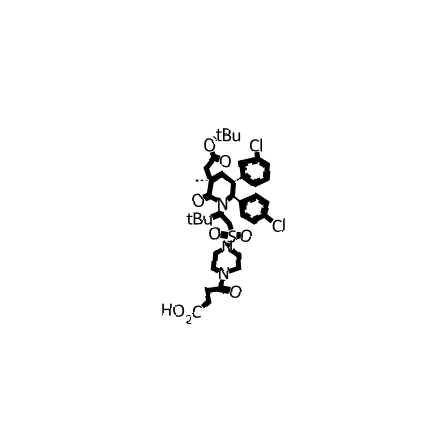 CC(C)(C)OC(=O)C[C@@]1(C)C[C@H](c2cccc(Cl)c2)[C@@H](c2ccc(Cl)cc2)N(C(CS(=O)(=O)N2CCN(C(=O)CCC(=O)O)CC2)C(C)(C)C)C1=O